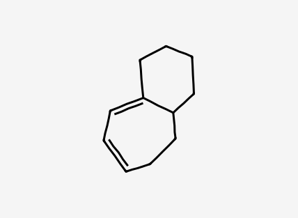 C1=CCCC2CCCCC2=C1